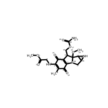 COC(=O)CNC1=C(C)C(=O)C2=C(C1=O)C(COC(N)=O)C1(OC)C3NC3CN21